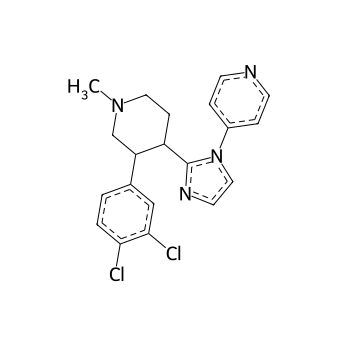 CN1CCC(c2nccn2-c2ccncc2)C(c2ccc(Cl)c(Cl)c2)C1